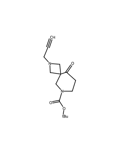 C#CCN1CC2(C1)CN(C(=O)OC(C)(C)C)CCC2=O